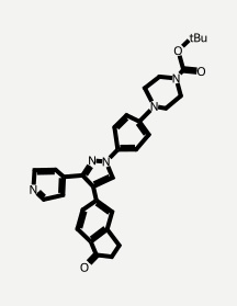 CC(C)(C)OC(=O)N1CCN(c2ccc(-n3cc(-c4ccc5c(c4)CCC5=O)c(-c4ccncc4)n3)cc2)CC1